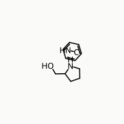 OCC1CCCN1.c1cc2ccc1CN2